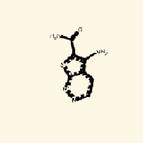 NC(=O)c1sc2nnccc2c1N